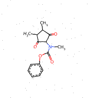 CC1C(=O)C(N(C)C(=O)Oc2ccccc2)C(=O)C1C